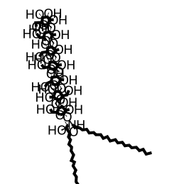 CCCCCCCCCCCCC/C=C/[C@@H](O)[C@H](CO[C@@H]1OC(CO)[C@@H](O[C@@H]2OC(CO)[C@H](O[C@@H]3OC(CO)[C@H](O)[C@H](O[C@H]4OC(CO)[C@H](O)[C@H](O[C@H]5OC(CO)[C@H](O)[C@H](O[C@H]6OC(CO)[C@H](O)[C@H](O[C@H]7OC(CO)[C@H](O)[C@H](O)C7O)C6O)C5O)C4O)C3O)[C@H](O)C2O)[C@H](O)C1O)NC(=O)CCCCCCCCCCCCCCCCCCCCC